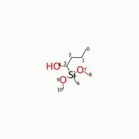 CCCC(O)[Si](C)(OC)OC